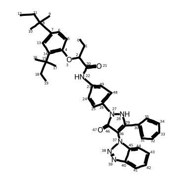 CCC(Oc1ccc(C(C)(C)CC)cc1C(C)(C)CC)C(=O)Nc1ccc(-n2[nH]c(-c3ccccc3)c(-n3nnc4ccccc43)c2=O)cc1